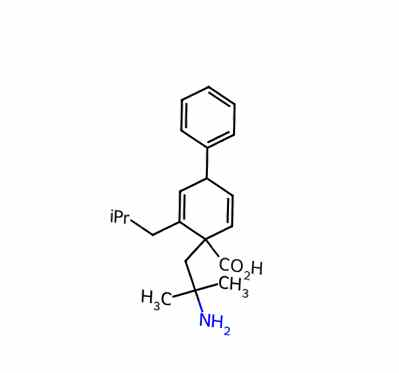 CC(C)CC1=CC(c2ccccc2)C=CC1(CC(C)(C)N)C(=O)O